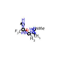 CNc1cc(-n2nc(C)cc2Nc2cc(NC(=O)c3cc(N4CCNC5(CC5)C4)cc(C(F)(F)F)c3)ccc2C)ncn1